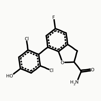 NC(=O)C1Cc2cc(F)cc(-c3c(Cl)cc(O)cc3Cl)c2O1